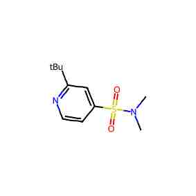 CN(C)S(=O)(=O)c1ccnc(C(C)(C)C)c1